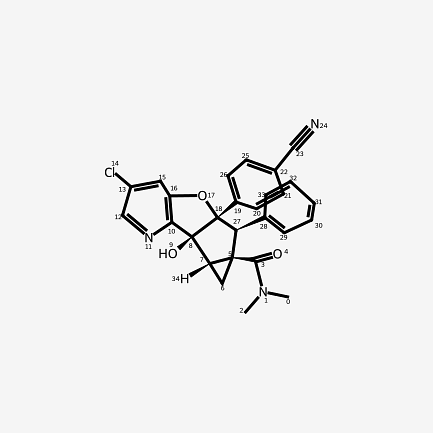 CN(C)C(=O)[C@@]12C[C@@H]1[C@]1(O)c3ncc(Cl)cc3O[C@]1(c1ccc(C#N)cc1)[C@H]2c1ccccc1